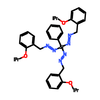 CC(C)Oc1ccccc1CN=N[Si](N=NCc1ccccc1OC(C)C)(N=NCc1ccccc1OC(C)C)c1ccccc1